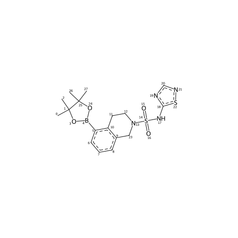 CC1(C)OB(c2cccc3c2CCN(S(=O)(=O)Nc2ncns2)C3)OC1(C)C